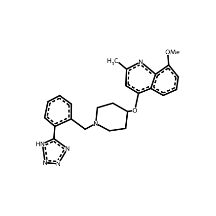 COc1cccc2c(OC3CCN(Cc4ccccc4-c4nnn[nH]4)CC3)cc(C)nc12